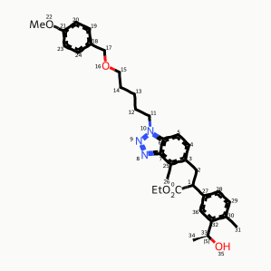 CCOC(=O)C(Cc1ccc2c(nnn2CCCCCOCc2ccc(OC)cc2)c1C)c1ccc(C)c([C@H](C)O)c1